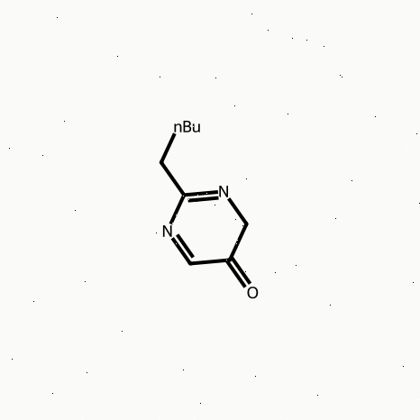 CCCCCC1=NCC(=O)C=N1